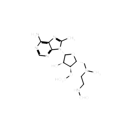 Cc1nc2c(N)ncnc2n1[C@@H]1O[C@H](CN(C)CCNC=O)[C@@H](OS(=O)(=O)O)[C@H]1O